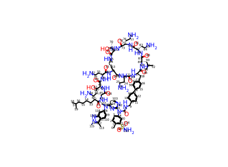 Cc1ccc(N(C(=O)NCc2ccc(-c3ccc(C[C@H]4NC(=O)C(CCN)NC(=O)[C@@H](NC(=O)[C@H](CCN)NC(=O)[C@@H](NC(=O)[C@@H](CCN)NC(=O)CCCCCC(C)C)[C@@H](C)O)CCNC(=O)[C@H]([C@@H](C)O)NC(=O)[C@H](CCN)NC(=O)[C@H](CCN)NC(=O)[C@H](CC(C)C)NC4=O)cc3)cc2)c2nccc(N(C)c3ccc4c(C)n(C)nc4c3)n2)cc1S(N)(=O)=O